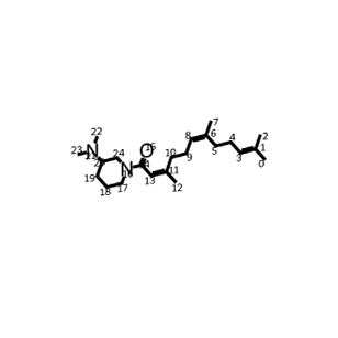 CC(C)=CCCC(C)=CCCC(C)=CC(=O)N1CCCC(N(C)C)C1